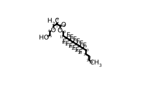 C=C(COCCO)C(=O)OCCC(F)(F)C(F)(F)C(F)(F)C(F)(F)C(F)(F)C(F)(F)CCCCC